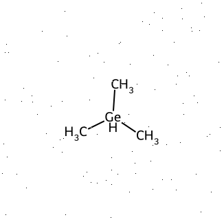 [CH3][GeH]([CH3])[CH3]